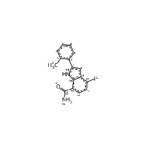 Cc1ccccc1-c1cc2c(I)ccc(C(N)=O)c2[nH]1